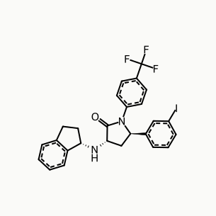 O=C1[C@@H](N[C@H]2CCc3ccccc32)C[C@H](c2cccc(I)c2)N1c1ccc(C(F)(F)F)cc1